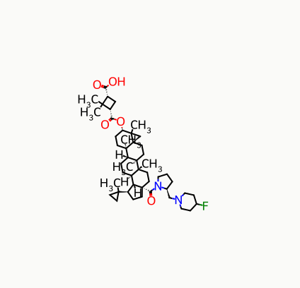 CC1([C@@H]2CC[C@]3(C(=O)N4CCC[C@H]4CN4CCC(F)CC4)CC[C@]4(C)[C@H](CC[C@@H]5[C@@]6(C)CC[C@H](OC(=O)[C@H]7C[C@@H](C(=O)O)C7(C)C)C7(C)C[C@]76CC[C@]54C)[C@@H]23)CC1